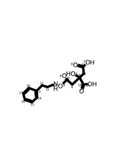 O=C(O)CC(O)(CC(=O)ONCCc1ccccc1)C(=O)O